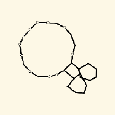 C1CCC(C2OCCOCCOCCOCCOCCOC2C2CCCCC2)CC1